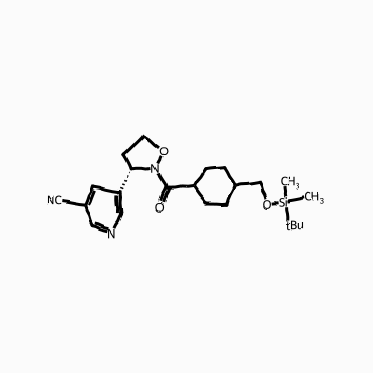 CC(C)(C)[Si](C)(C)OCC1CCC(C(=O)N2OCC[C@H]2c2cncc(C#N)c2)CC1